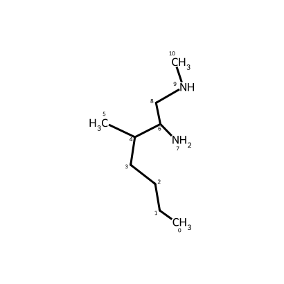 CCCCC(C)C(N)CNC